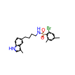 Cc1cc(C)c(S(=O)(=O)NCCCCc2ccc3[nH]cc(C)c3c2)c(Br)c1